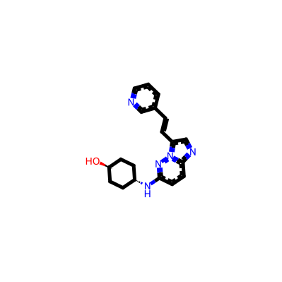 O[C@H]1CC[C@H](Nc2ccc3ncc(C=Cc4cccnc4)n3n2)CC1